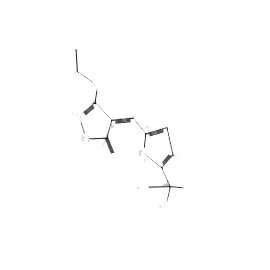 CCOC1=NNC(=O)/C1=C\c1ccc(C(F)(F)F)[nH]1